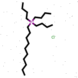 CCCCCCCCCC[P+](CCCC)(CCCC)CCCC.[Cl-]